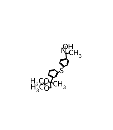 CC(=NO)c1ccc(Sc2cccc(C3(C)COC(C)(C)O3)c2)cc1